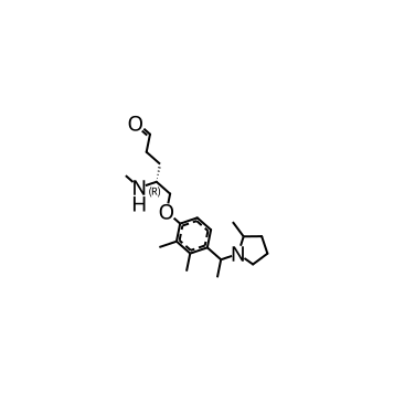 CN[C@H](CCC=O)COc1ccc(C(C)N2CCCC2C)c(C)c1C